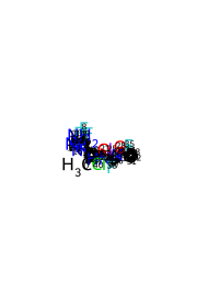 Cc1cc(-c2cc(C(F)(F)F)c3c(N)ncnn23)cc(C(=O)N[C@H]2C(I)N(C(=O)c3ccccc3F)C[C@@H]2F)c1Cl